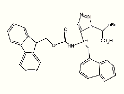 CCCCC(C(=O)O)n1nnnc1[C@H](Cc1cccc2ccccc12)NC(=O)OCC1c2ccccc2-c2ccccc21